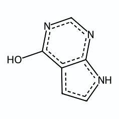 Oc1ncnc2[nH]ccc12